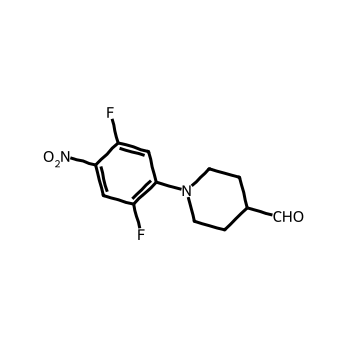 O=CC1CCN(c2cc(F)c([N+](=O)[O-])cc2F)CC1